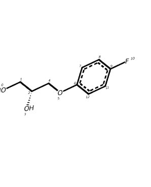 OC[C@@H](O)COc1ccc(F)cc1